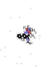 CC(C)Cn1cc([C@@H](C)NS(=O)(=O)N(C)C)c2ccc(-c3ccccc3C(F)(F)F)cc21